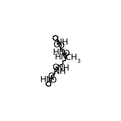 CC(CCCCNC(=O)NCCOC(=O)NC1CCCCC1)NC(=O)NCCOC(=O)NC1CCCCC1